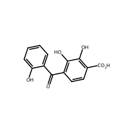 O=C(O)c1ccc(C(=O)c2ccccc2O)c(O)c1O